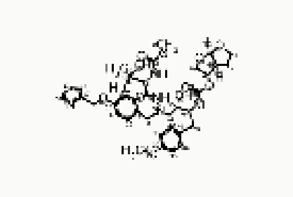 COC(=O)N[C@H](C(=O)NN(Cc1ccc(OCc2cscn2)cc1)C[C@H](O)[C@H](Cc1ccc(OC)cc1)NC(=O)O[C@H]1CO[C@H]2OCC[C@H]21)C(C)(C)C